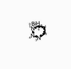 [BiH3].c1cnnnc1